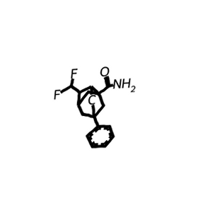 NC(=O)C12CC3CC(c4ccccc4)(CC1C3C(F)F)C2